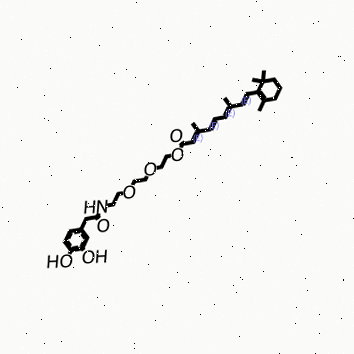 CC1=C(/C=C/C(C)=C/C=C/C(C)=C/C(=O)OCCOCCOCCNC(=O)Cc2ccc(O)c(O)c2)C(C)(C)CCC1